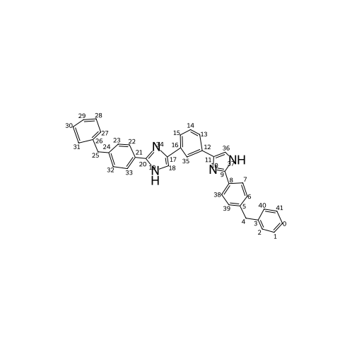 c1ccc(Cc2ccc(-c3nc(-c4cccc(-c5c[nH]c(-c6ccc(Cc7ccccc7)cc6)n5)c4)c[nH]3)cc2)cc1